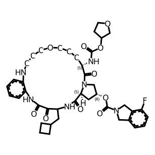 O=C(N[C@H]1CCCOCCCNc2ccccc2NC(=O)C(=O)C(CC2CCC2)NC(=O)[C@@H]2C[C@@H](OC(=O)N3Cc4cccc(F)c4C3)CN2C1=O)OC1CCOC1